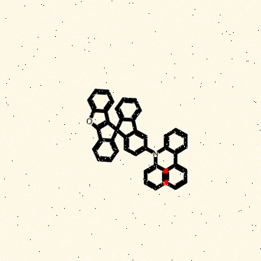 c1ccc(-c2ccccc2N(c2ccccc2)c2ccc3c(c2)-c2ccccc2C32c3ccccc3-c3oc4ccccc4c32)cc1